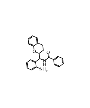 Nc1ccccc1C(NC(=O)c1ccccc1)C1CCc2ccccc2O1